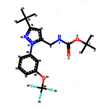 CC(C)(C)OC(=O)NCc1cc(C(C)(C)C)nn1-c1cccc(OC(F)(F)F)c1